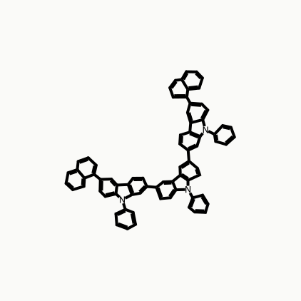 c1ccc(-n2c3ccc(-c4ccc5c6cc(-c7cccc8ccccc78)ccc6n(-c6ccccc6)c5c4)cc3c3cc(-c4ccc5c6cc(-c7cccc8ccccc78)ccc6n(-c6ccccc6)c5c4)ccc32)cc1